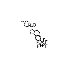 CN1CCN(C(=O)C2CCC3c4ccc(C(F)(C(F)(F)F)C(F)(F)F)cc4CCC23)CC1